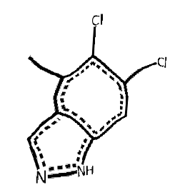 Cc1c(Cl)c(Cl)cc2[nH]ncc12